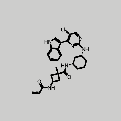 C=CC(=O)NC1CC(C)(C(=O)N[C@H]2CCC[C@@H](Nc3ncc(Cl)c(-c4c[nH]c5ccccc45)n3)C2)C1